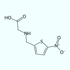 O=C(O)CNCc1ccc([N+](=O)[O-])s1